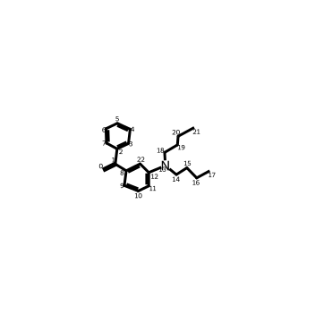 C=C(c1ccccc1)c1cccc(N(CCCC)CCCC)c1